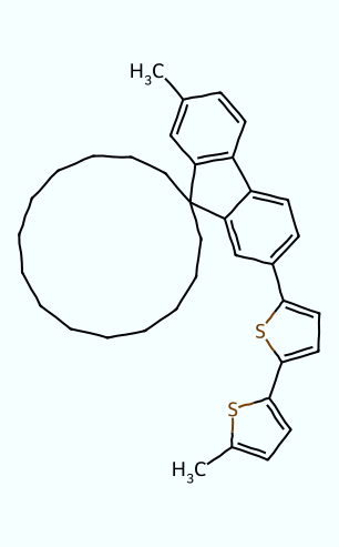 Cc1ccc2c(c1)C1(CCCCCCCCCCCCCC1)c1cc(-c3ccc(-c4ccc(C)s4)s3)ccc1-2